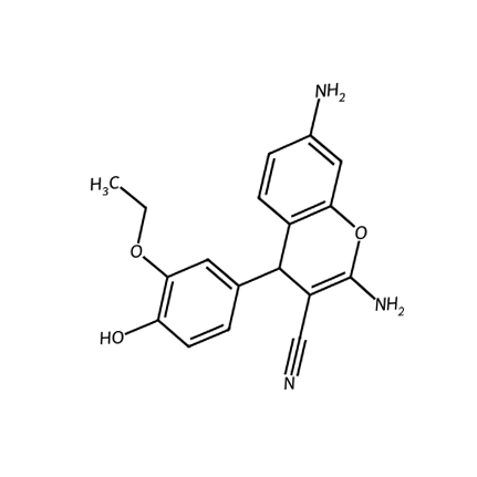 CCOc1cc(C2C(C#N)=C(N)Oc3cc(N)ccc32)ccc1O